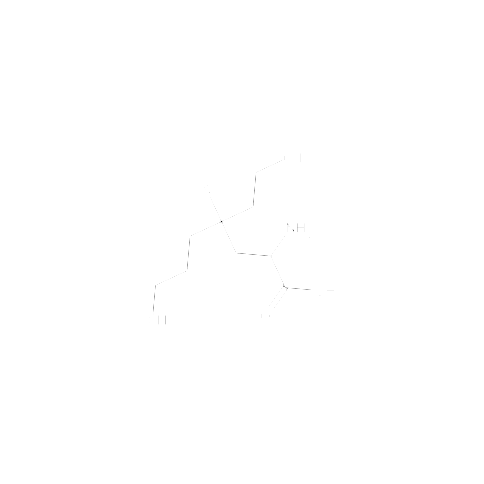 CCCCC(S)(CCC)CC(N)C(=O)O